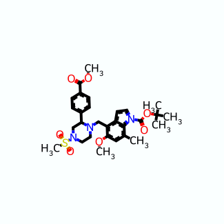 COC(=O)c1ccc(C2CN(S(C)(=O)=O)CCN2Cc2c(OC)cc(C)c3c2ccn3C(=O)OC(C)(C)C)cc1